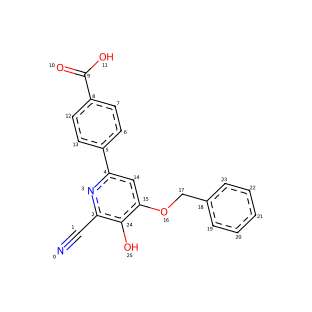 N#Cc1nc(-c2ccc(C(=O)O)cc2)cc(OCc2ccccc2)c1O